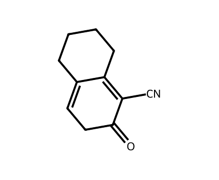 N#CC1=C2CCCCC2=CCC1=O